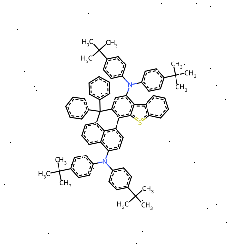 CC(C)(C)c1ccc(N(c2ccc(C(C)(C)C)cc2)c2ccc3c4c(cccc24)C(c2ccccc2)(c2ccccc2)c2cc(N(c4ccc(C(C)(C)C)cc4)c4ccc(C(C)(C)C)cc4)c4c(sc5ccccc54)c2-3)cc1